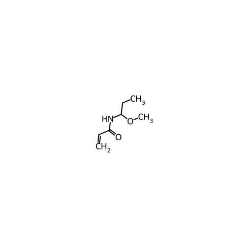 C=CC(=O)NC(CC)OC